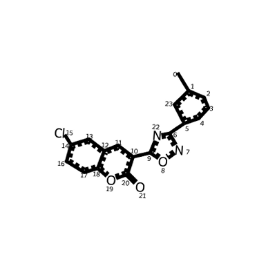 Cc1cccc(-c2noc(-c3cc4cc(Cl)ccc4oc3=O)n2)c1